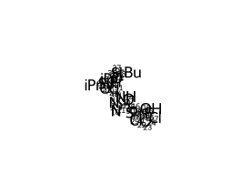 CC(C)[Si](O[C@H]1C[C@H](Nc2ncncc2C(=O)c2cc([C@H](O)C3C=CC=CC3(F)Cl)c(Cl)s2)C[C@@H]1CO[Si](C)(C)C(C)(C)C)(C(C)C)C(C)C